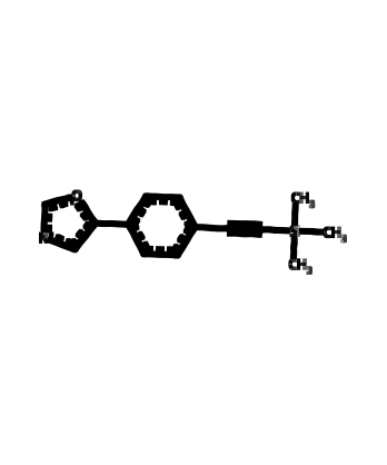 C[Si](C)(C)C#Cc1ccc(-c2cnco2)cc1